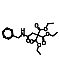 CCOC(=O)C(CC(=O)NCc1ccccc1)(C(=O)OCC)C(=O)OCC